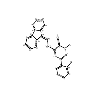 COC(=O)C(=CC(=O)c1ccccc1C)NN=C1c2ccccc2-c2ccccc21